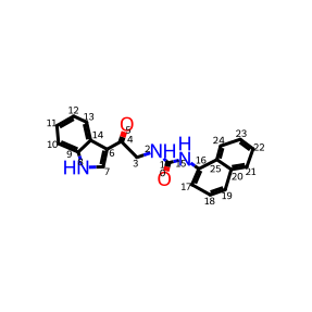 O=C(NCC(=O)c1c[nH]c2ccccc12)Nc1cccc2ccccc12